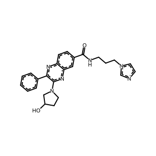 O=C(NCCCn1ccnc1)c1ccc2nc(-c3ccccc3)c(N3CCC(O)C3)nc2c1